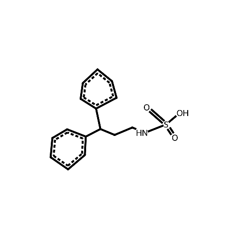 O=S(=O)(O)NCCC(c1ccccc1)c1ccccc1